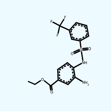 CCOC(=O)c1ccc(NS(=O)(=O)c2cccc(C(F)(F)F)c2)c(N)c1